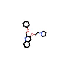 c1ccc(OCc2nc3ccccc3cc2OCCN2CCCC2)cc1